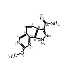 COc1ncc2ccc3c(C(N)=O)n[nH]c3c2n1